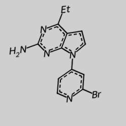 CCc1nc(N)nc2c1ccn2-c1ccnc(Br)c1